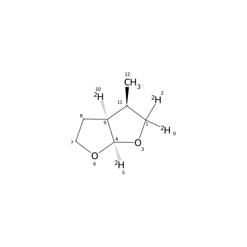 [2H]C1([2H])O[C@@]2([2H])OCC[C@@]2([2H])[C@H]1C